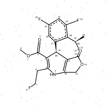 COC(=O)C1=C(CCF)NC2=C(C(=O)OC2)[C@@H]1c1cc(F)cc(F)c1[C@@H](C)F